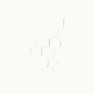 Cc1ccc2c(c1)c1cc(OC(C)C)ccc1c1n[nH]cc21